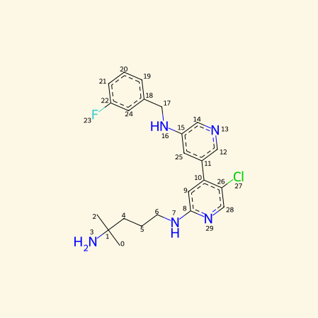 CC(C)(N)CCCNc1cc(-c2cncc(NCc3cccc(F)c3)c2)c(Cl)cn1